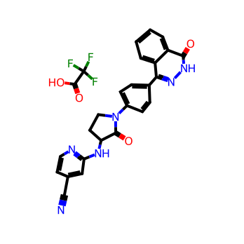 N#Cc1ccnc(NC2CCN(c3ccc(-c4n[nH]c(=O)c5ccccc45)cc3)C2=O)c1.O=C(O)C(F)(F)F